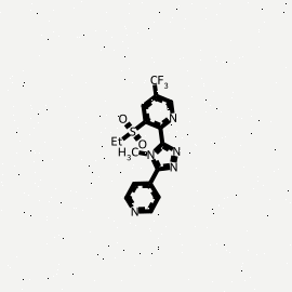 CCS(=O)(=O)c1cc(C(F)(F)F)cnc1-c1nnc(-c2ccncc2)n1C